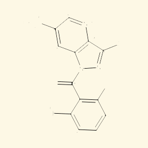 Cc1cccc(Cl)c1C(=O)n1nc(Br)c2ncc(C(=O)O)cc21